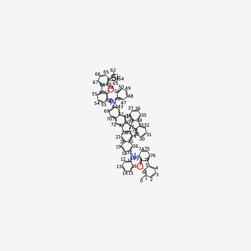 Cc1cccc2c1oc1c(N(c3ccccc3)c3ccc4cc5c(cc4c3)C3(c4ccccc4-c4ccccc43)c3cc4cc(N(c6ccccc6)c6cccc7c6oc6c([Si](C)(C)C)cccc67)ccc4cc3-5)cccc12